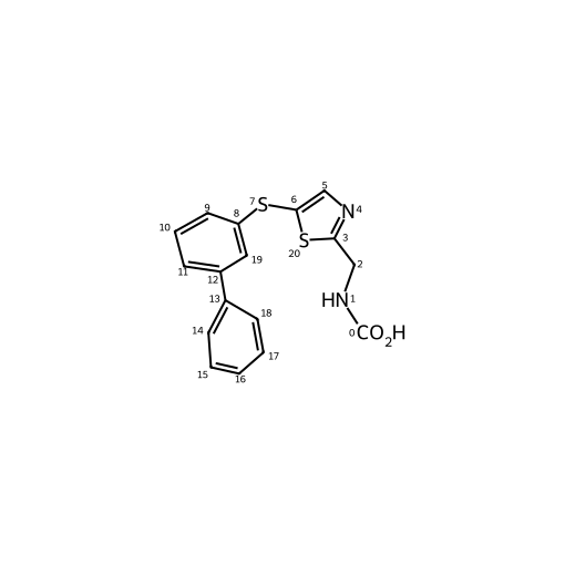 O=C(O)NCc1ncc(Sc2cccc(-c3ccccc3)c2)s1